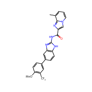 COc1ccc(-c2ccc3[nH]c(NC(=O)c4cn5cccc(C)c5n4)nc3c2)cc1C(F)(F)F